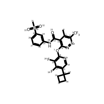 Cc1c(C(F)(F)F)nnc(Oc2ncc(C3(C)CCC3)c(F)c2F)c1C(=O)Nc1cccc(S(C)(=O)=O)c1